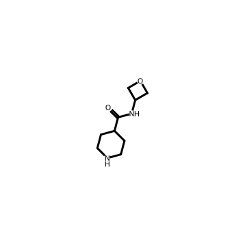 O=C(NC1COC1)C1CCNCC1